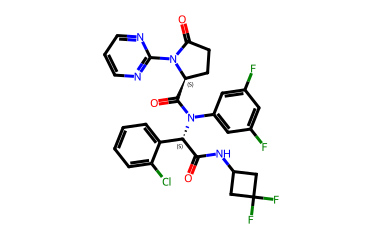 O=C(NC1CC(F)(F)C1)[C@H](c1ccccc1Cl)N(C(=O)[C@@H]1CCC(=O)N1c1ncccn1)c1cc(F)cc(F)c1